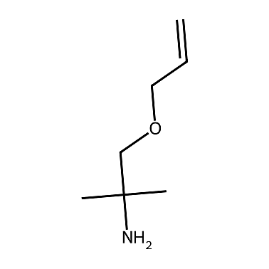 C=CCOCC(C)(C)N